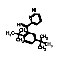 CC(C)(C)c1ccc(C(C)(C)C)c(C(=N)c2ccccn2)c1.[Ni]